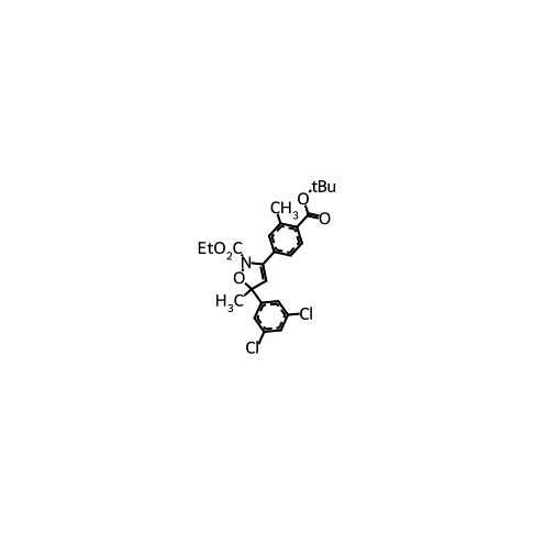 CCOC(=O)N1OC(C)(c2cc(Cl)cc(Cl)c2)C=C1c1ccc(C(=O)OC(C)(C)C)c(C)c1